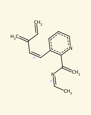 C=CC(=C)/C=C\c1cccnc1C(=C)/N=C\C